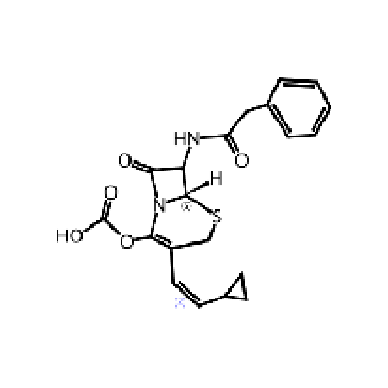 O=C(Cc1ccccc1)NC1C(=O)N2C(OC(=O)O)=C(/C=C\C3CC3)CS[C@@H]12